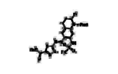 CCCCCN1c2cc(NS(=O)(=O)C(F)(F)F)c(N=Nc3nnc(C(=O)OCC(C)C)s3)cc2CCC1CC